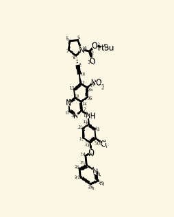 CC(C)(C)OC(=O)N1CCC[C@H]1C#Cc1cc2ncnc(Nc3ccc(OCc4ccccn4)c(Cl)c3)c2cc1[N+](=O)[O-]